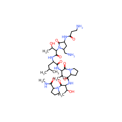 C=C(C)C(NC(=O)C(CC(C)C)NC(=O)C(C(C)O)N1C(=O)C(NC(=O)CCN)CC1CN)C(=O)N1CCCC1C(=O)NC(C(=O)N1CCCC1C(=O)NC)C(C)O